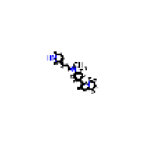 CN(CCCC1CCCNC1)c1ccc(C2CCC3CCCCN32)cc1